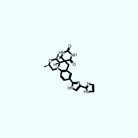 C[C@@H]1CN2c3ccc(-c4nc(-c5ncc[nH]5)c[nH]4)cc3CC3(C(=O)NC(=O)NC3=O)[C@H]2[C@H](C)O1